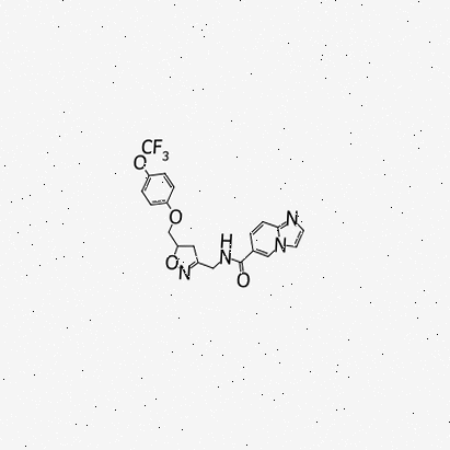 O=C(NCC1=NOC(COc2ccc(OC(F)(F)F)cc2)C1)c1ccc2nccn2c1